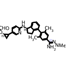 CN/N=C(\N)c1cc(C)c(-c2cccc3c2CC[C@H]3Nc2ccc(C3C[C@@H]3OC=O)cn2)c(C)c1